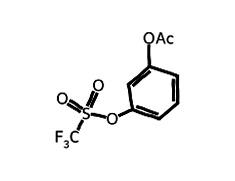 CC(=O)Oc1cccc(OS(=O)(=O)C(F)(F)F)c1